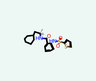 C[C@@H](CC1CCCCC1)NC(=O)c1ccccc1NS(=O)(=O)c1cccs1